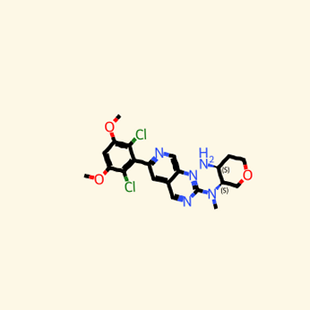 COc1cc(OC)c(Cl)c(-c2cc3cnc(N(C)[C@@H]4COCC[C@@H]4N)nc3cn2)c1Cl